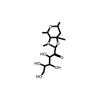 CC1CC2(C)OC(C(=O)C(O)C(O)C(O)CO)N(C)C2C(C)O1